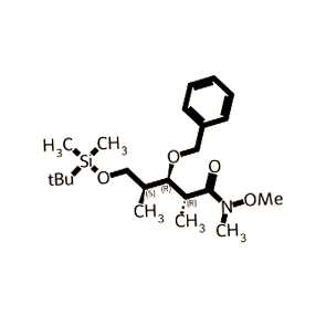 CON(C)C(=O)[C@H](C)[C@H](OCc1ccccc1)[C@@H](C)CO[Si](C)(C)C(C)(C)C